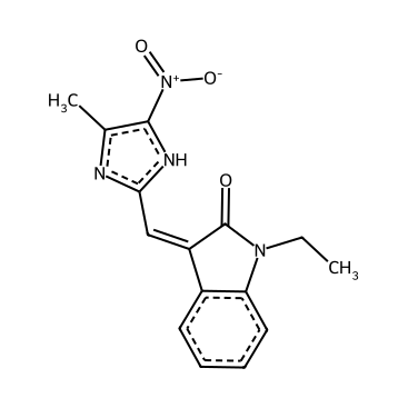 CCN1C(=O)C(=Cc2nc(C)c([N+](=O)[O-])[nH]2)c2ccccc21